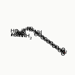 CCCCc1nc2c(N)nc3cc(CCCN4CCN(CCCCNC(=O)CCOCCOCCOCCOCCOCCOCCOCCOCCN5C(=O)C=CC5=O)CC4)ccc3c2n1CC(C)(CO)CO